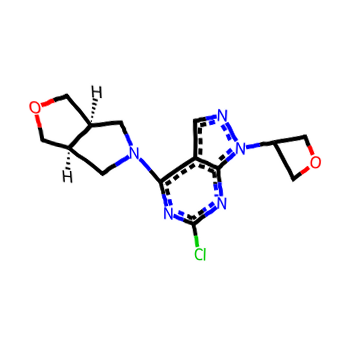 Clc1nc(N2C[C@H]3COC[C@H]3C2)c2cnn(C3COC3)c2n1